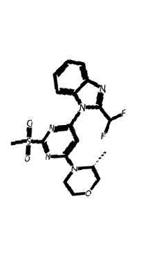 C[C@@H]1COCCN1c1cc(-n2c(C(F)F)nc3ccccc32)nc(S(C)(=O)=O)n1